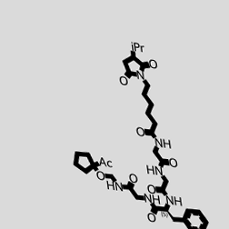 CC(=O)C1(OCNC(=O)CNC(=O)[C@H](Cc2ccccc2)NC(=O)CNC(=O)CNC(=O)CCCCCN2C(=O)CC(C(C)C)C2=O)CCCC1